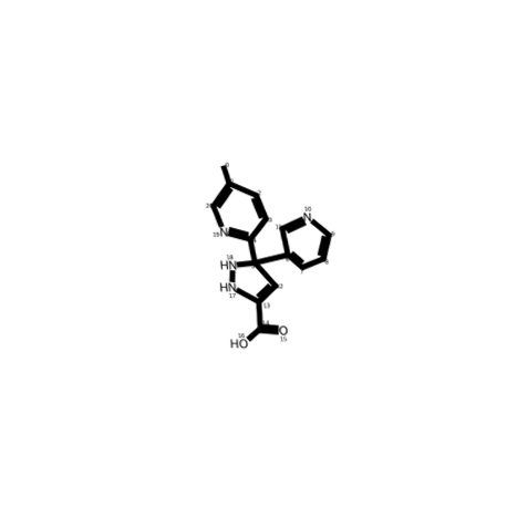 Cc1ccc(C2(c3cccnc3)C=C(C(=O)O)NN2)nc1